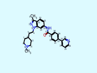 Cc1nn(CCC2CCN(C)CC2)c2cc(NC(=O)c3ccc(-c4cccnc4)cc3)ccc12